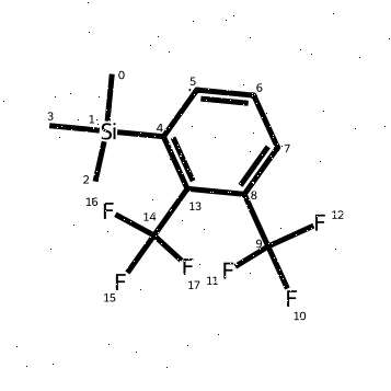 C[Si](C)(C)c1[c]ccc(C(F)(F)F)c1C(F)(F)F